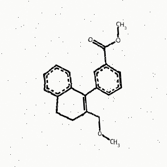 COCC1=C(c2cccc(C(=O)OC)c2)c2ccccc2CC1